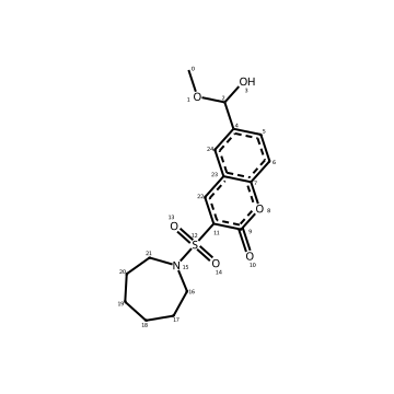 COC(O)c1ccc2oc(=O)c(S(=O)(=O)N3CCCCCC3)cc2c1